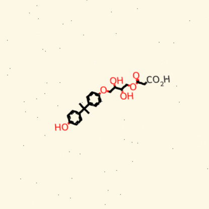 CC(C)(c1ccc(O)cc1)c1ccc(OCC(O)C(O)COC(=O)CC(=O)O)cc1